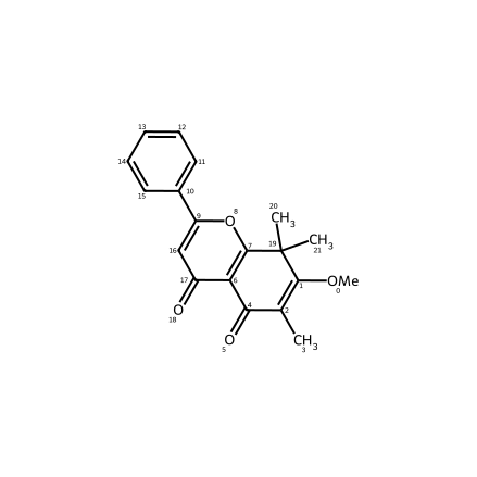 COC1=C(C)C(=O)c2c(oc(-c3ccccc3)cc2=O)C1(C)C